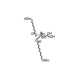 CCCCCCCCCCCCCCCCCCCC(=O)O[C@H](COC(=O)CCCCCCCCCCCCCCCCC)COP(=O)(O)OC[C@@H](O)CO